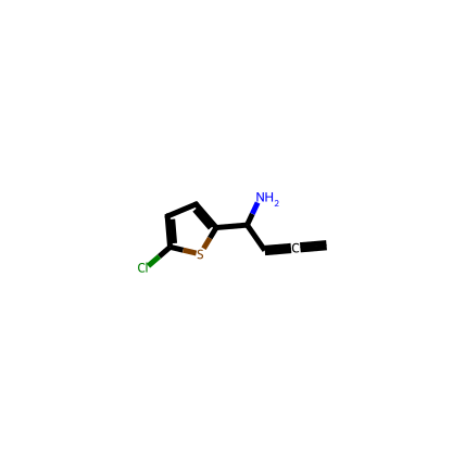 C=C=CC(N)c1ccc(Cl)s1